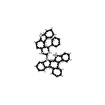 c1ccc(-c2nc(-n3c4ccccc4c4c5ccccc5c5c6ccccc6[nH]c5c43)nc3ccc4oc5ccccc5c4c23)cc1